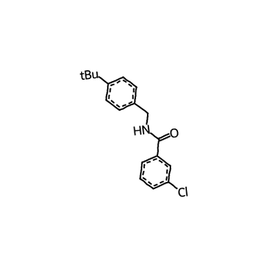 CC(C)(C)c1ccc(CNC(=O)c2cccc(Cl)c2)cc1